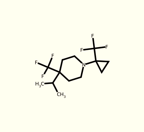 CC(C)C1(C(F)(F)F)CCN(C2(C(F)(F)F)CC2)CC1